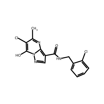 Cc1nc2c(C(=O)NCc3ccccc3Cl)cnn2c(O)c1Cl